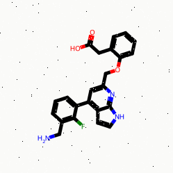 NCc1cccc(-c2cc(COc3ccccc3CC(=O)O)nc3[nH]ccc23)c1F